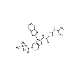 CC(C)NC1CC(C(=O)Nc2sc3c(c2-c2nc4ccccc4s2)CN(C(=O)OC(C)(C)C)CC3)C1